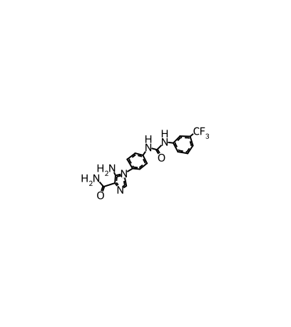 NC(=O)c1ncn(-c2ccc(NC(=O)Nc3cccc(C(F)(F)F)c3)cc2)c1N